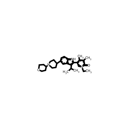 CCn1cc(-c2[nH]c3ccc(C4CCN(C5CCOCC5)CC4)cc3c2C(C)C)c(C)c(C)c1=O